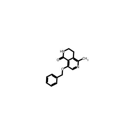 Cc1ncc(OCc2ccccc2)c2c1CCNC2=O